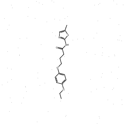 CCOc1ccc(OCCCC(=O)Nc2ncc(C)s2)cc1